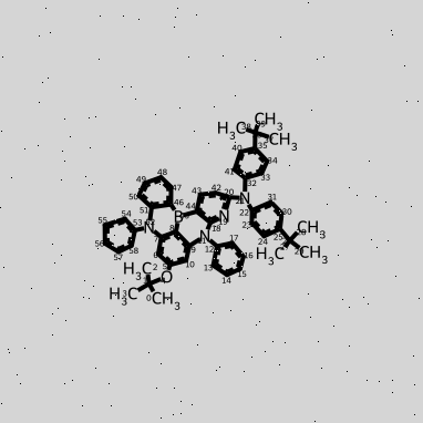 CC(C)(C)Oc1cc2c3c(c1)N(c1ccccc1)c1nc(N(c4ccc(C(C)(C)C)cc4)c4ccc(C(C)(C)C)cc4)ccc1B3c1ccccc1N2c1ccccc1